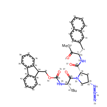 COC(=O)[C@H](Cc1ccc2ccccc2c1)NC(=O)[C@@H]1C[C@H](N=[N+]=[N-])CN1C(=O)[C@@H](NC(=O)OCC1c2ccccc2-c2ccccc21)C(C)(C)C